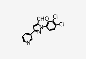 O=Cc1cc(-c2cccnc2)nn1-c1ccc(Cl)c(Cl)c1